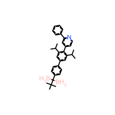 BC(B)(c1ccc(-c2cc(C(C)C)c(-c3ccnc(-c4ccccc4)c3)c(C(C)C)c2)cc1)C(C)(C)C